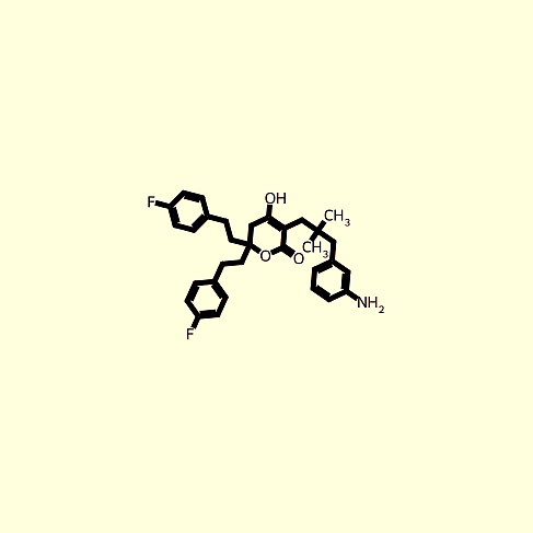 CC(C)(CC1=C(O)CC(CCc2ccc(F)cc2)(CCc2ccc(F)cc2)OC1=O)Cc1cccc(N)c1